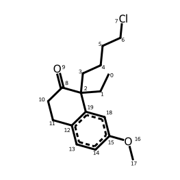 CCC1(CCCCCl)C(=O)CCc2ccc(OC)cc21